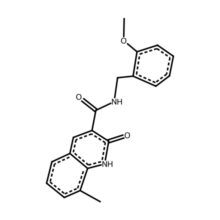 COc1ccccc1CNC(=O)c1cc2cccc(C)c2[nH]c1=O